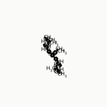 COC(=O)N[C@H](C(=O)N1CCC[C@H]1C(=O)Nc1ccc(-c2ccc(-c3ccc(NC(=O)[C@@H]4CCCN4C(=O)[C@@H](NC(=O)OC)C(C)C)cc3)c3c2C2CC(C(C)C)CC3N2)cc1)C(C)C